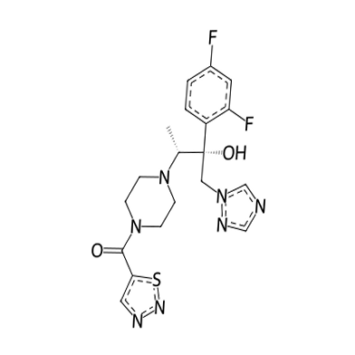 C[C@@H](N1CCN(C(=O)c2cnns2)CC1)[C@](O)(Cn1cncn1)c1ccc(F)cc1F